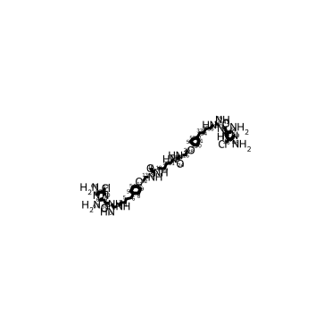 N=C(NCCCCc1ccc(OCCNC(=O)NCCCCNC(=O)NCCOc2ccc(CCCCNC(=N)NC(=O)c3nc(Cl)c(N)nc3N)cc2)cc1)NC(=O)c1nc(Cl)c(N)nc1N